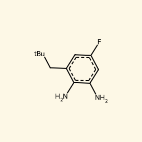 CC(C)(C)Cc1cc(F)cc(N)c1N